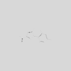 Cc1cc(C(=O)O)nn1-c1ccc(Cl)cc1Cl